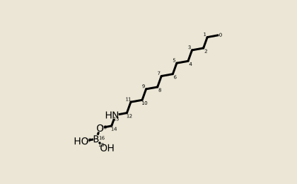 CCCCCCCCCCCCCNCOB(O)O